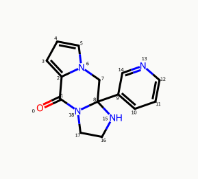 O=C1c2cccn2CC2(c3cccnc3)NCCN12